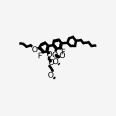 CCCCCC1CCC(c2ccc(-c3ccc(OCCCC)c(F)c3OCOCCOC)c(OC(=O)OC)c2F)CC1